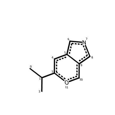 CC(C)c1cc2cncc-2co1